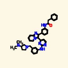 CN(C)C1CCN(Cc2cccc(Nc3nccc(-c4c(-c5cccc(NC(=O)Cc6ccccc6)c5)nc5ccccn45)n3)c2)C1